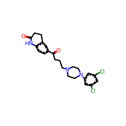 O=C1CCc2cc(C(=O)CCCN3CCN(c4cc(Cl)cc(Cl)c4)CC3)ccc2N1